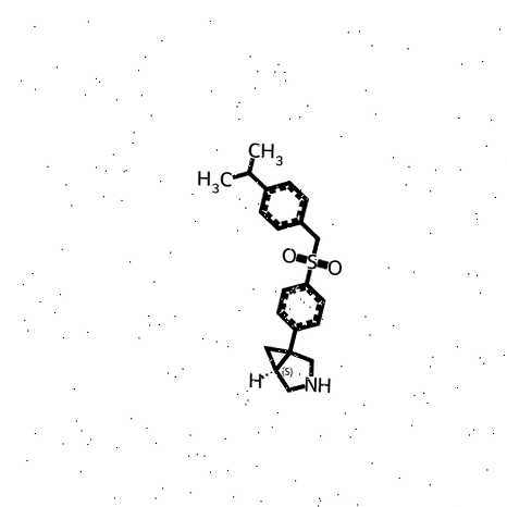 CC(C)c1ccc(CS(=O)(=O)c2ccc(C34CNC[C@H]3C4)cc2)cc1